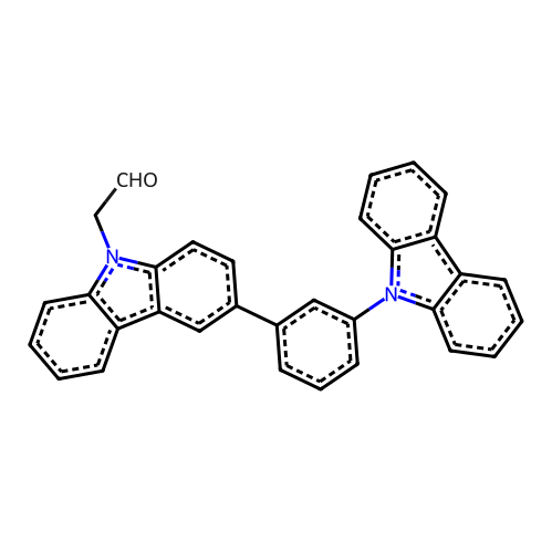 O=CCn1c2ccccc2c2cc(-c3cccc(-n4c5ccccc5c5ccccc54)c3)ccc21